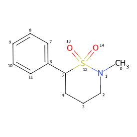 CN1CCCC(c2ccccc2)S1(=O)=O